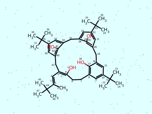 C/C(=C\C1=C(\O)CCc2cc(C(C)(C)C)cc(c2O)Cc2cc(C(C)(C)C)cc(c2O)Cc2cc(C(C)(C)C)cc(c2O)C1)C(C)(C)C